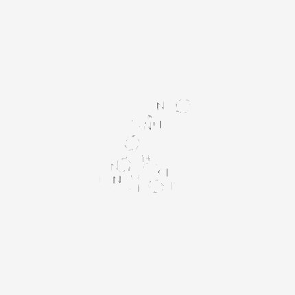 CC(Oc1cc(-c2ccc(C(=O)N[C@@H]3CCN(Cc4ccccc4)C3)cc2)cnc1N)c1c(Cl)ccc(F)c1Cl